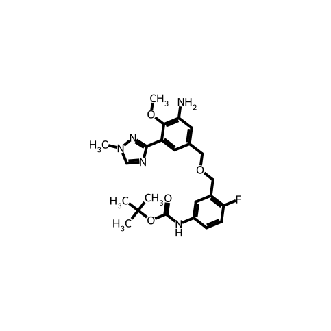 COc1c(N)cc(COCc2cc(NC(=O)OC(C)(C)C)ccc2F)cc1-c1ncn(C)n1